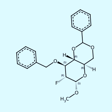 CO[C@H]1O[C@@H]2COC(c3ccccc3)O[C@H]2[C@H](OCc2ccccc2)[C@H]1F